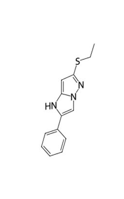 CCSc1cc2[nH]c(-c3ccccc3)cn2n1